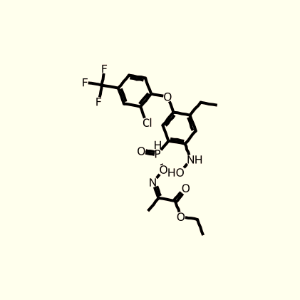 CCOC(=O)C(C)=NO[PH](=O)c1cc(Oc2ccc(C(F)(F)F)cc2Cl)c(CC)cc1NO